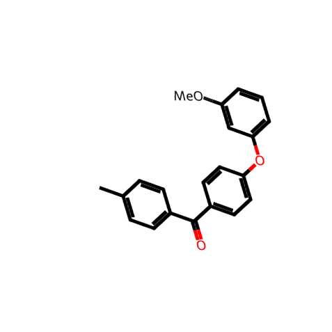 COc1cccc(Oc2ccc(C(=O)c3ccc(C)cc3)cc2)c1